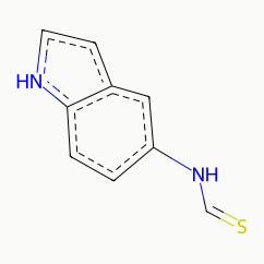 S=CNc1ccc2[nH]ccc2c1